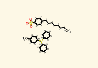 CCCCCCCCc1ccc(S(=O)(=O)[O-])cc1.Cc1ccc([S+](c2ccccc2)c2ccccc2)cc1